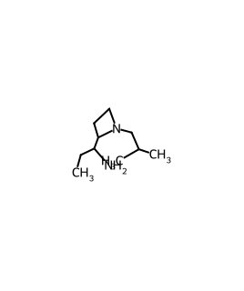 CCC(N)C1CCN1CC(C)C